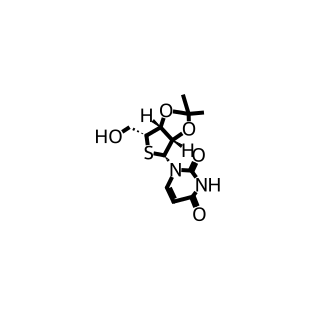 CC1(C)O[C@@H]2[C@H](O1)[C@H](n1ccc(=O)[nH]c1=O)S[C@@H]2CO